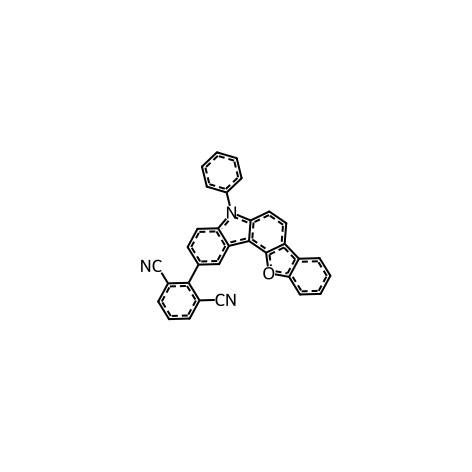 N#Cc1cccc(C#N)c1-c1ccc2c(c1)c1c3oc4ccccc4c3ccc1n2-c1ccccc1